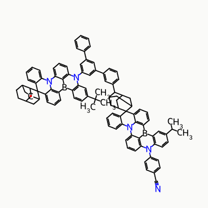 CC(C)c1ccc2c(c1)B1c3cccc4c3N(c3ccccc3C43C4CC5CC3CC(C4)C5c3cccc(-c4cc(-c5ccccc5)cc(N5c6cc(C(C)(C)C)ccc6B6c7cccc8c7N(c7ccccc7C87C8CCC9CCC(C8)CC97)c7cccc5c76)c4)c3)c3cccc(c31)N2c1ccc(C#N)cc1